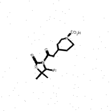 CC(C)C1N(C(=O)CC2CCN(C(=O)O)CC2)C(=O)OC1(C)C